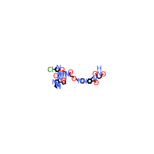 O=C(CCOCCN1CCN(c2ccc3c(c2)CN(C2CCC(=O)NC2=O)C3=O)CC1)NCCOc1ncc(Cl)cc1NC(=O)Nc1cnc2ccnn2c1C1CCCO1